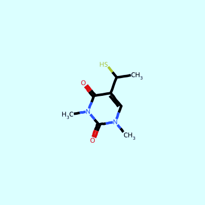 CC(S)c1cn(C)c(=O)n(C)c1=O